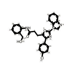 O=C(CCc1oc(-n2cnc3ccccc32)nc1-c1ccc(Cl)cc1)Nc1ccccc1CO